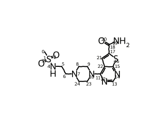 CS(=O)(=O)NCCN1CCN(c2ncnc3sc(C(N)=O)cc23)CC1